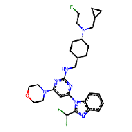 FCCN(CC1CC1)[C@H]1CC[C@H](CNc2nc(N3CCOCC3)cc(-n3c(C(F)F)nc4ccccc43)n2)CC1